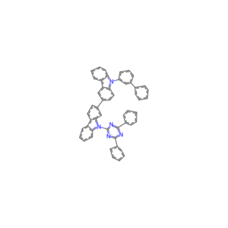 c1ccc(-c2cccc(-n3c4ccccc4c4cc(-c5ccc6c7ccccc7n(-c7nc(-c8ccccc8)nc(-c8ccccc8)n7)c6c5)ccc43)c2)cc1